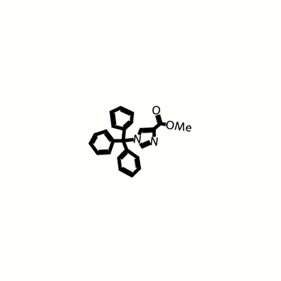 COC(=O)c1cn(C(c2ccccc2)(c2ccccc2)c2ccccc2)cn1